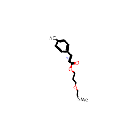 CNCCOCCCOC(=O)/C=C/c1ccc(C#N)cc1